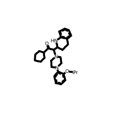 CC(C)Oc1ccccc1N1CCN(C(C(=O)C2CCCCC2)C2CCc3ccccc3N2)CC1